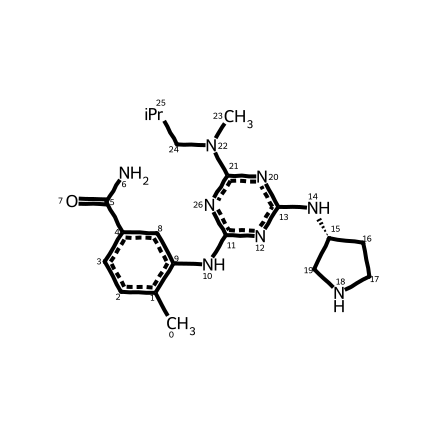 Cc1ccc(C(N)=O)cc1Nc1nc(N[C@@H]2CCNC2)nc(N(C)CC(C)C)n1